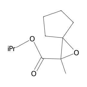 CC(C)OC(=O)C1(C)OC12CCCC2